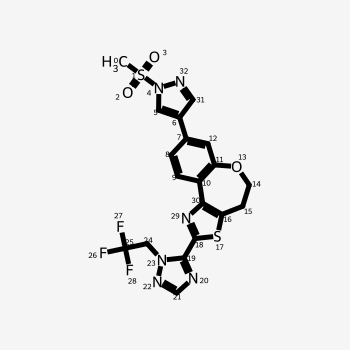 CS(=O)(=O)n1cc(-c2ccc3c(c2)OCCc2sc(-c4ncnn4CC(F)(F)F)nc2-3)cn1